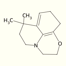 CC1(C)CCN2CCOC3=C2C1=CCC3